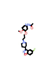 COc1ccc(NC(C)=O)cc1OCCCN1CCC(c2noc3ccc(F)cc23)CC1